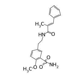 COc1ccc(CCNC(=O)/C(C)=C/c2ccccc2)cc1S(N)(=O)=O